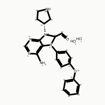 Cl.Cl.Nc1ncnc2c1N(c1ccc(Oc3ccccc3)cc1)C(C=O)N2[C@@H]1CCNC1